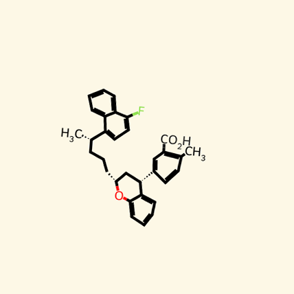 Cc1ccc([C@H]2C[C@@H](CCC[C@H](C)c3ccc(F)c4ccccc34)Oc3ccccc32)cc1C(=O)O